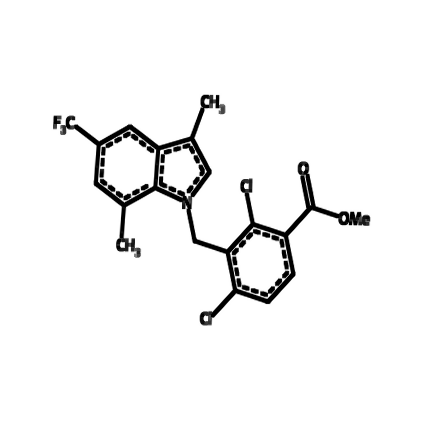 COC(=O)c1ccc(Cl)c(Cn2cc(C)c3cc(C(F)(F)F)cc(C)c32)c1Cl